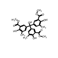 COC(=O)c1cc(C(O)(c2cc(C)c(O)c(C(=O)OC)c2)c2cc(C)c(O)c(C(=O)OC)c2)cc(C)c1O